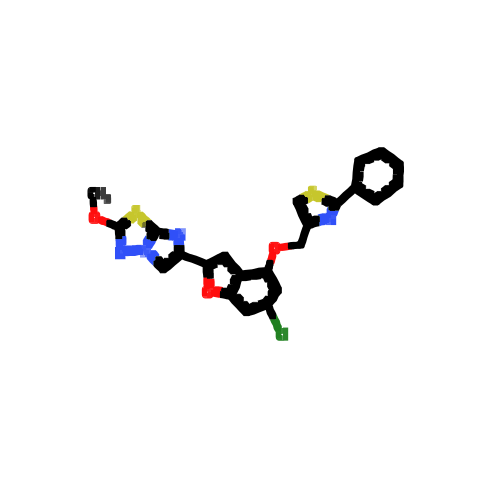 COc1nn2cc(-c3cc4c(OCc5csc(-c6ccccc6)n5)cc(Cl)cc4o3)nc2s1